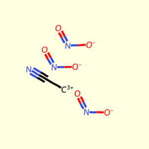 O=N[O-].O=N[O-].O=N[O-].[C+3]C#N